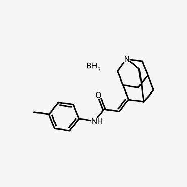 B.Cc1ccc(NC(=O)C=C2C3CC4CC2CN(C4)C3)cc1